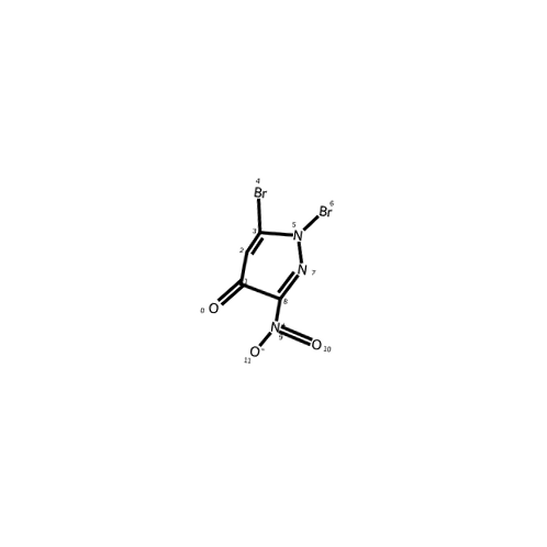 O=c1cc(Br)n(Br)nc1[N+](=O)[O-]